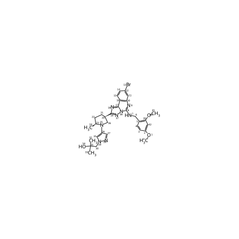 COc1ccc(CNc2nc3cc(Br)ccc3c3nc([C@@H]4CC[C@H](C)N(c5cnn(CC(C)(C)O)c5)C4)nn23)c(OC)c1